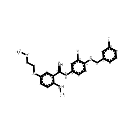 CNc1ccc(OCCOC)cc1C(=N)Nc1ccc(OCc2cccc(F)c2)c(Cl)c1